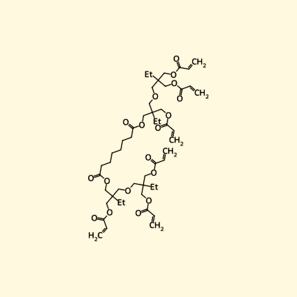 C=CC(=O)OCC(CC)(COCC(CC)(COC(=O)C=C)COC(=O)CCCCCCC(=O)OCC(CC)(COCC(CC)(COC(=O)C=C)COC(=O)C=C)COC(=O)C=C)COC(=O)C=C